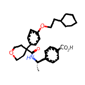 C[C@H](NC(=O)C1(c2ccc(OCCC3CCCCC3)cc2)CCOCC1)c1ccc(C(=O)O)cc1